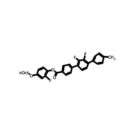 CCCCCCCCOc1ccc(OC(=O)c2ccc(-c3ccc(-c4ccc(C)cc4)c(F)c3F)cc2)c(F)c1